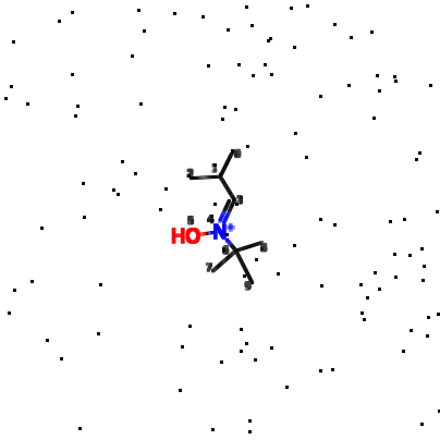 CC(C)/C=[N+](\O)C(C)(C)C